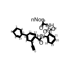 C#Cc1cc(-c2ccccc2)ccc1C(=O)Nc1ccccc1S(=O)(=O)NC(=O)CCCCCCCCC